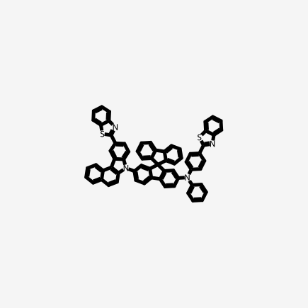 c1ccc(N(c2ccc(-c3nc4ccccc4s3)cc2)c2ccc3c(c2)C2(c4ccccc4-c4ccccc42)c2cc(-n4c5ccc(-c6nc7ccccc7s6)cc5c5c6ccccc6ccc54)ccc2-3)cc1